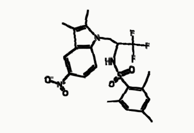 Cc1cc(C)c(S(=O)(=O)NC(Cn2c(C)c(C)c3cc([N+](=O)[O-])ccc32)C(F)(F)F)c(C)c1